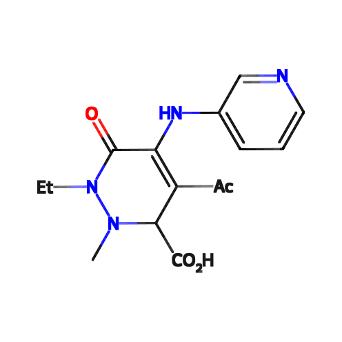 CCN1C(=O)C(Nc2cccnc2)=C(C(C)=O)C(C(=O)O)N1C